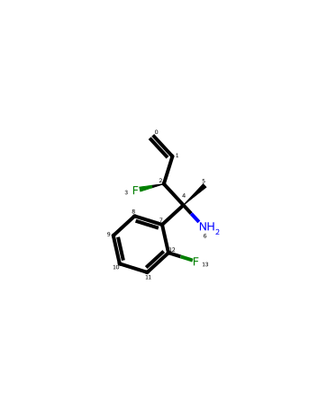 C=C[C@H](F)[C@](C)(N)c1ccccc1F